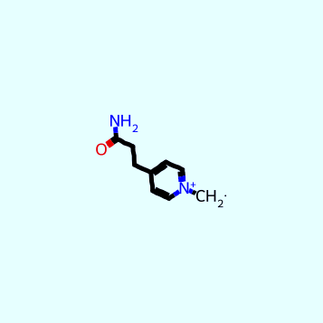 [CH2][n+]1ccc(CCC(N)=O)cc1